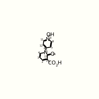 O=C(O)c1cccn(-c2cc[n+](O)cc2)c1=O